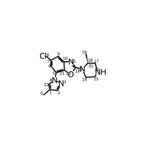 Cc1cnn(-c2cc(Cl)cc3nc(N4CCNC[C@@H]4C)oc23)c1